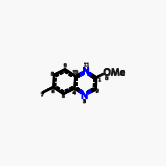 COc1cnc2cc(C)ccc2n1